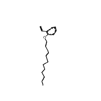 C=Cc1ccccc1OCCCCCCCCCCC